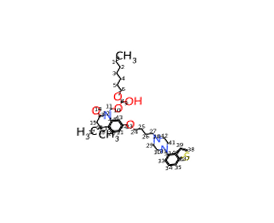 CCCCCCCOC(O)OCN1C(=O)CC(C)(C)c2ccc(OCCCCN3CCN(c4cccc5sccc45)CC3)cc21